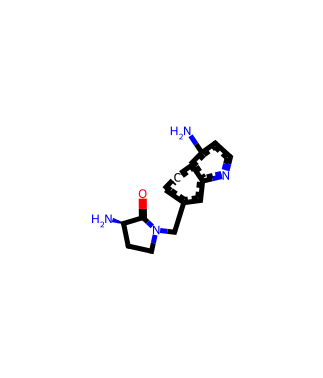 Nc1ccnc2cc(CN3CC[C@@H](N)C3=O)ccc12